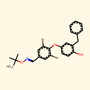 CC(C)(ON=Cc1cc(Br)c(Oc2ccc(O)c(Cc3ccccc3)c2)c(Br)c1)C(=O)O